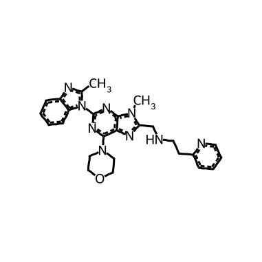 Cc1nc2ccccc2n1-c1nc(N2CCOCC2)c2nc(CNCCc3ccccn3)n(C)c2n1